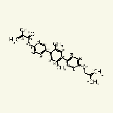 C=C(C)COc1ccc(-c2cc(C)c(-c3ccc(OC(=O)C(=C)C)cc3)cc2C)cc1